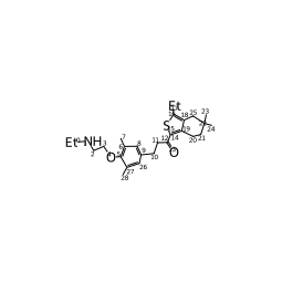 CCNCCOc1c(C)cc(CCC(=O)c2sc(CC)c3c2CCC(C)(C)C3)cc1C